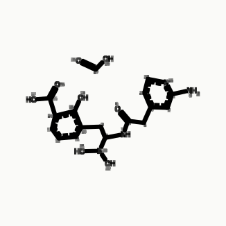 Nc1cc(CC(=O)NC(Cc2cccc(C(=O)O)c2O)B(O)O)ccn1.O=CO